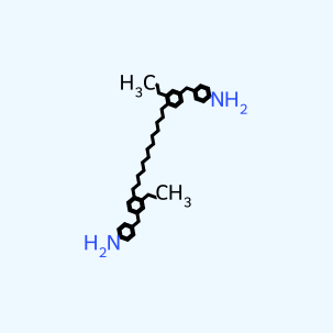 CCCc1cc(Cc2ccc(N)cc2)ccc1CCCCCCCCCCCCCc1ccc(Cc2ccc(N)cc2)cc1CCC